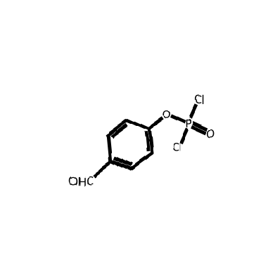 O=Cc1ccc(OP(=O)(Cl)Cl)cc1